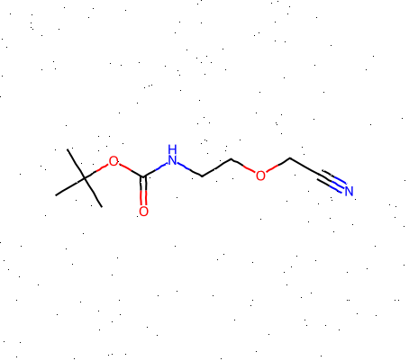 CC(C)(C)OC(=O)NCCOCC#N